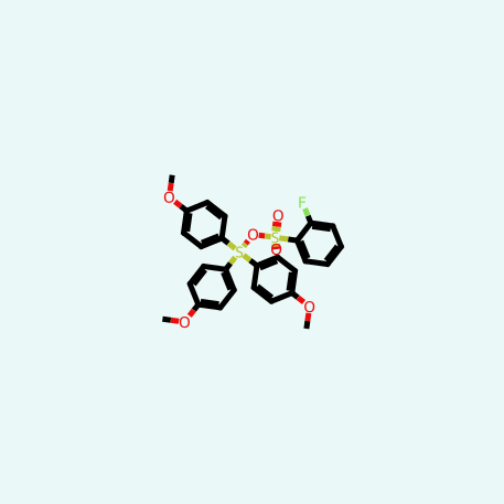 COc1ccc(S(OS(=O)(=O)c2ccccc2F)(c2ccc(OC)cc2)c2ccc(OC)cc2)cc1